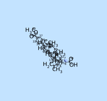 C=C(C)[C@@H]1CC[C@]2(/C=C/C(=O)O)CC[C@]3(C)[C@H](CC[C@@H]4[C@@]5(C)CC=C(c6ccc(C(=O)OC)cc6)C(C)(C)[C@@H]5CC[C@]43C)[C@@H]12